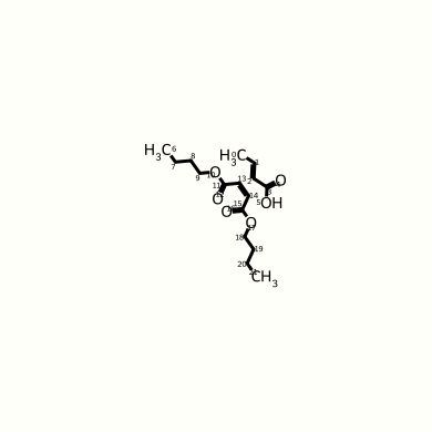 CC=CC(=O)O.CCCCOC(=O)/C=C\C(=O)OCCCC